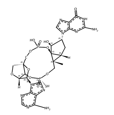 C[C@@]12CO[P@](=O)(S)O[C@H]3[C@H]4OC[C@]3(COP(=O)(O)O[C@]13[C@@H](O)[C@H](n1cnc5c(=O)[nH]c(N)nc51)C[C@@H]32)O[C@H]4n1cnc2c(N)ncnc21